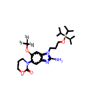 [2H]C([2H])([2H])Oc1cc2c(cc1N1CCCOC1=O)nc(N)n2CCCO[Si](C(C)C)(C(C)C)C(C)C